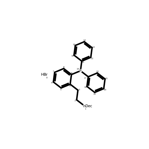 Br.CCCCCCCCCCCCc1ccccc1P(c1ccccc1)c1ccccc1